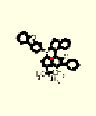 CC(C)(C)c1ccc(N(c2ccc3c(c2)oc2ccccc23)c2ccc3ccccc3c2-c2cccc3c2oc2ccccc23)cc1